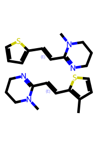 CN1CCCN=C1/C=C/c1cccs1.Cc1ccsc1/C=C/C1=NCCCN1C